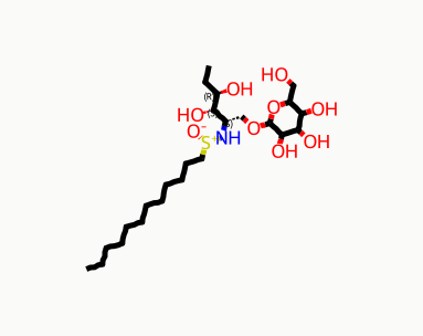 CCCCCCCCCCCC[S+]([O-])N[C@@H](COC1OC(CO)C(O)C(O)C1O)[C@H](O)[C@H](O)CC